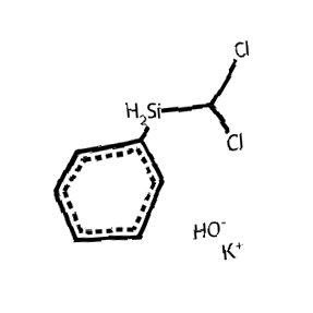 ClC(Cl)[SiH2]c1ccccc1.[K+].[OH-]